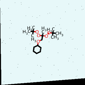 CC(C)(C)OOC(C)(COC1CCCCC1)OOC(C)(C)C